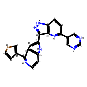 c1ncc(-c2ccc3[nH]nc(-c4cc5c(-c6ccsc6)nccc5[nH]4)c3n2)cn1